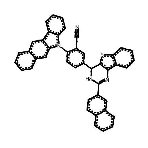 N#Cc1cc(C2NC(c3ccc4ccccc4c3)=Nc3c2sc2ccccc32)ccc1-n1c2ccccc2c2cc3ccccc3cc21